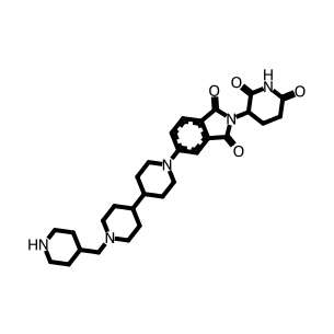 O=C1CCC(N2C(=O)c3ccc(N4CCC(C5CCN(CC6CCNCC6)CC5)CC4)cc3C2=O)C(=O)N1